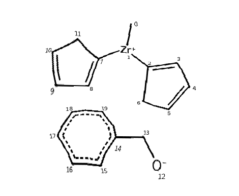 [CH3][Zr+]([C]1=CC=CC1)[C]1=CC=CC1.[O-]Cc1ccccc1